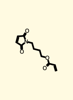 C=CC(=O)OCCCCN1C(=O)C=CC1=O